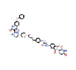 NC(=O)c1c(-c2ccc(Oc3ccccc3)cc2)nn2c1NCC[C@H]2C1CCN(C(=O)CCCc2ccc(NC(=O)CNc3ccc4c(c3)C(=O)N(C3CCC(=O)NC3=O)C4=O)cc2)CC1